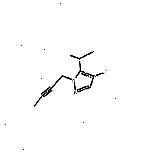 CC#CCn1n[c]c(F)c1C(C)C